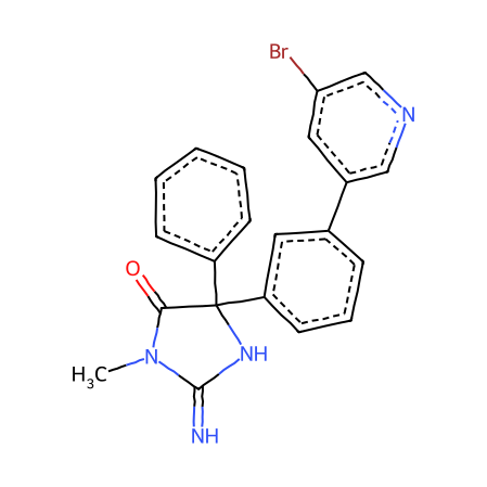 CN1C(=N)NC(c2ccccc2)(c2cccc(-c3cncc(Br)c3)c2)C1=O